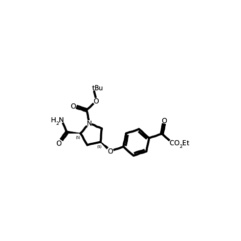 CCOC(=O)C(=O)c1ccc(O[C@H]2C[C@@H](C(N)=O)N(C(=O)OC(C)(C)C)C2)cc1